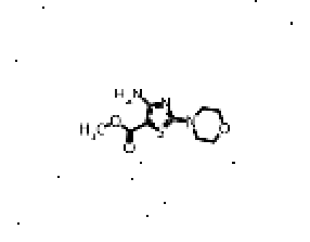 COC(=O)c1sc(N2CCOCC2)nc1N